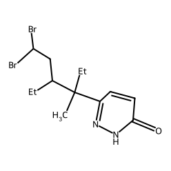 CCC(CC(Br)Br)C(C)(CC)c1ccc(=O)[nH]n1